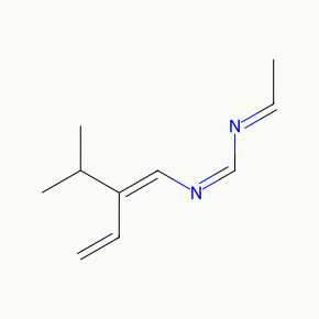 C=C\C(=C/N=C\N=C\C)C(C)C